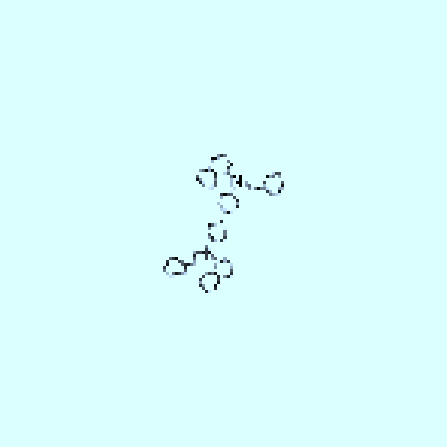 C(=CN(c1ccc(-c2ccc(N(C=Cc3ccccc3)c3cccc4ccccc34)cc2)cc1)c1cccc2ccccc12)c1ccccc1